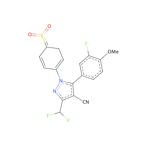 COc1ccc(-c2c(C#N)c(C(F)F)nn2C2=CCC(=S(=O)=O)C=C2)cc1F